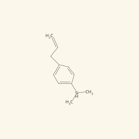 C=CCc1ccc([SiH](C)C)cc1